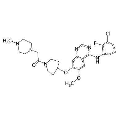 COc1cc2c(Nc3cccc(Cl)c3F)ncnc2cc1OC1CCN(C(=O)CN2CCN(C)CC2)CC1